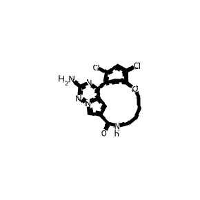 Nc1nc2c3cc(cn3n1)C(=O)NCCCCOc1cc-2c(Cl)cc1Cl